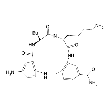 CC[C@H](C)[C@@H]1NC(=O)c2cc(N)ccc2NCc2ccc(C(N)=O)cc2NC(=O)[C@H](CCCCN)NC1=O